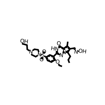 CCCc1c(C=NO)c(C)c2c(=O)[nH]c(-c3cc(S(=O)(=O)N4CCN(CCCO)CC4)ccc3OCC)nn12